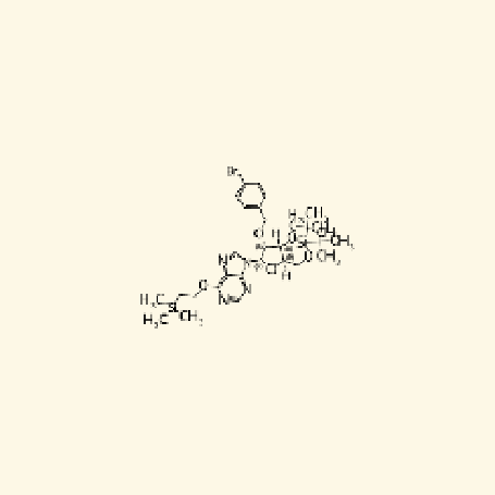 CC(C)(C)[Si]1(C(C)(C)C)OC[C@H]2O[C@@H](n3cnc4c(OCC[Si](C)(C)C)ncnc43)[C@H](OCc3ccc(Br)cc3)[C@@H]2O1